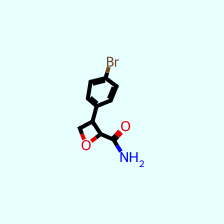 NC(=O)C1OC[C]1c1ccc(Br)cc1